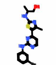 CC(=O)c1cccc(Nc2nccc(-c3sc(NC(C)CO)nc3C)n2)c1